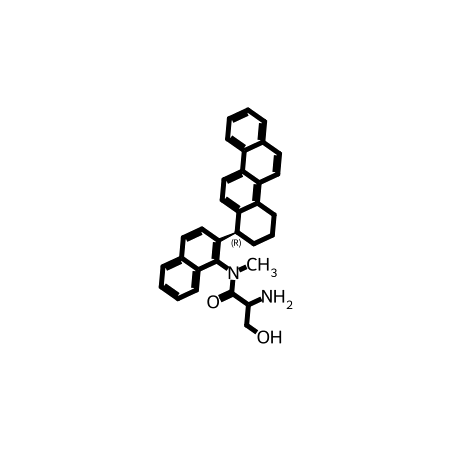 CN(C(=O)C(N)CO)c1c([C@@H]2CCCc3c2ccc2c3ccc3ccccc32)ccc2ccccc12